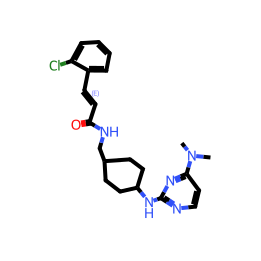 CN(C)c1ccnc(NC2CCC(CNC(=O)/C=C/c3ccccc3Cl)CC2)n1